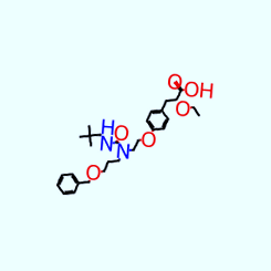 CCOC(Cc1ccc(OCCN(CCCOCc2ccccc2)C(=O)NCC(C)(C)C)cc1)C(=O)O